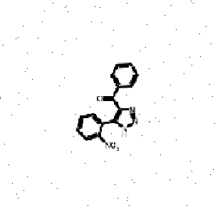 O=C(c1ccccc1)c1nn[nH]c1-c1ccccc1[N+](=O)[O-]